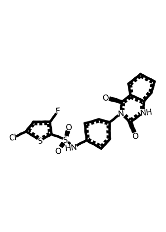 O=c1[nH]c2ccccc2c(=O)n1-c1ccc(NS(=O)(=O)c2sc(Cl)cc2F)cc1